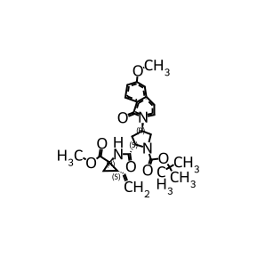 C=C[C@@H]1C[C@]1(NC(=O)[C@@H]1C[C@@H](n2ccc3cc(OC)ccc3c2=O)CN1C(=O)OC(C)(C)C)C(=O)OC